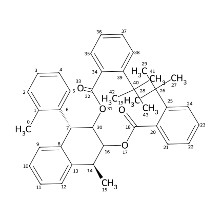 Cc1ccccc1[C@H]1c2ccccc2[C@H](C)C(OC(=O)c2ccccc2C(C)(C)C)C1OC(=O)c1ccccc1C(C)(C)C